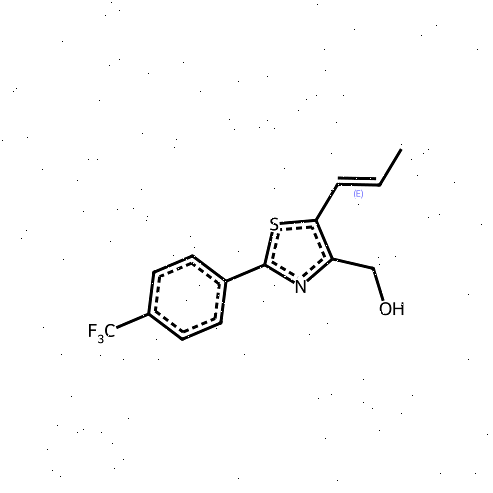 C/C=C/c1sc(-c2ccc(C(F)(F)F)cc2)nc1CO